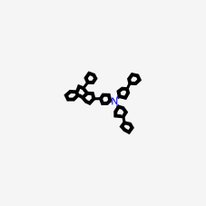 c1ccc(-c2ccc(N(c3ccc(-c4ccccc4)cc3)c3ccc(-c4ccc5c(c4)c(-c4ccccc4)cc4ccccc45)cc3)cc2)cc1